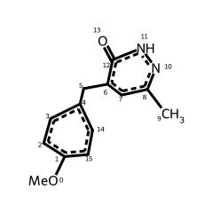 COc1ccc(Cc2cc(C)n[nH]c2=O)cc1